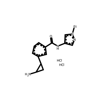 CCn1cc(NC(=O)c2cccc(C3CC3N)c2)cn1.Cl.Cl